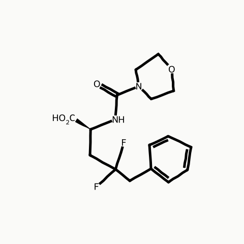 O=C(O)[C@H](CC(F)(F)Cc1ccccc1)NC(=O)N1CCOCC1